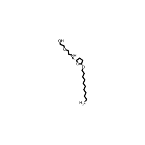 CCCCCCCCCCCO[C@@H]1CC[C@@H](CNCCOCCO)O1